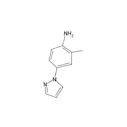 Cc1cc(-n2cccn2)ccc1N